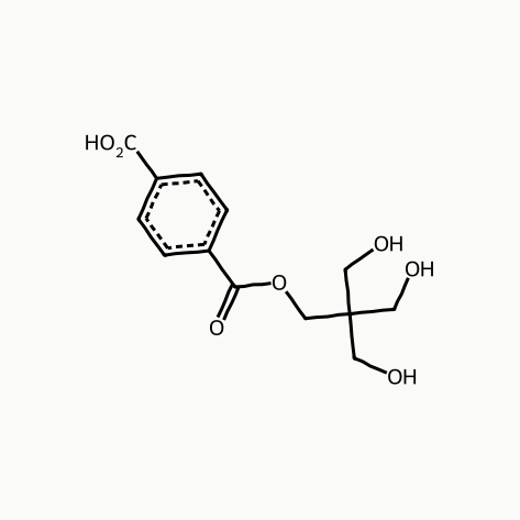 O=C(O)c1ccc(C(=O)OCC(CO)(CO)CO)cc1